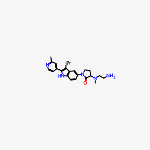 Cc1cc(-c2[nH]c3ccc(N4CCC(N(C)CCN)C4=O)cc3c2C(C)C)ccn1